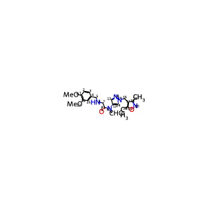 COc1ccc(CNCC(=O)N(C=O)c2cnn(Cc3c(C)noc3C)c2)cc1OC